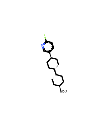 CCCCCCCC[C@H]1CC[C@H]([C@H]2CC[C@H](c3ccc(F)nc3)CC2)CC1